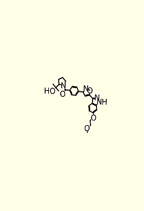 COCCOc1ccc2c(-c3cc(-c4ccc(C(=O)N5CCCC5C(C)(C)O)cc4)no3)n[nH]c2c1